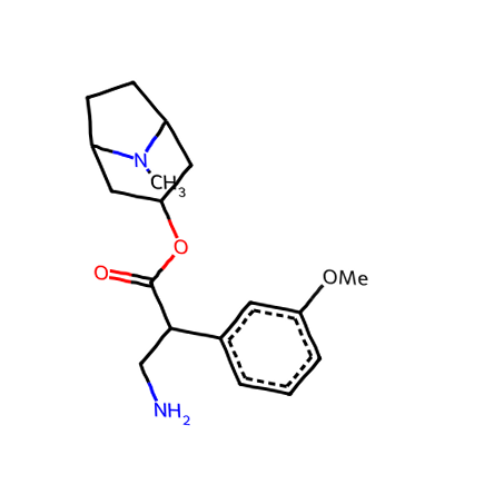 COc1cccc(C(CN)C(=O)OC2CC3CCC(C2)N3C)c1